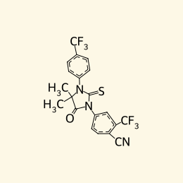 CC1(C)C(=O)N(c2ccc(C#N)c(C(F)(F)F)c2)C(=S)N1c1ccc(C(F)(F)F)cc1